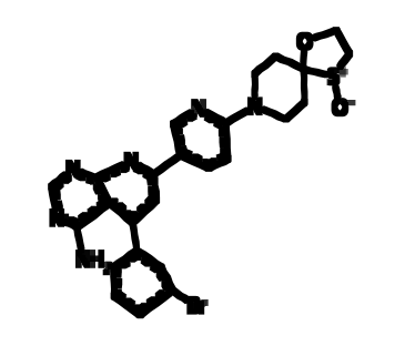 Nc1ncnc2nc(-c3ccc(N4CCC5(CC4)OCC[S+]5[O-])nc3)cc(-c3cccc(Br)c3)c12